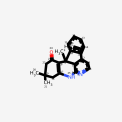 C=Cc1ccnc2c1C(C)(c1ccccc1)C1=C(CC(C)(C)CC1=O)N2